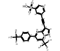 O=S(=O)(O)c1cncc(C#Cc2cnn3c(C(F)(F)F)cc(-c4ccc(C(F)(F)F)cc4)nc23)c1